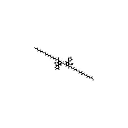 CCCCCCCCCCCCCCCCCCC(C)c1cc(SSc2cc(C(C)CCCCCCCCCCCCCCCCCC)c(O)c(C3CCCCC3)c2)cc(C2CCCCC2)c1O